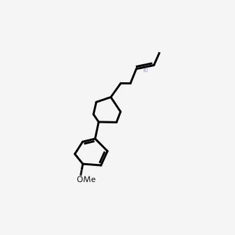 C/C=C/CCC1CCC(C2=CCC(OC)C=C2)CC1